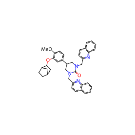 COc1ccc(C2CN(Cc3ccc4ccccc4n3)C(=O)N(Cc3ccc4ccccc4n3)C2)cc1OC1CC2CCC1C2